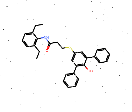 CCc1cccc(CC)c1NC(=O)CCSc1cc(-c2ccccc2)c(O)c(-c2ccccc2)c1